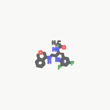 CC(=O)N[C@@H](Cc1cc(F)cc(F)c1)[C@H](N)CNC1COCc2ccccc21